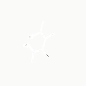 CCCC(C)[C@H](C)C(C)C(C)S